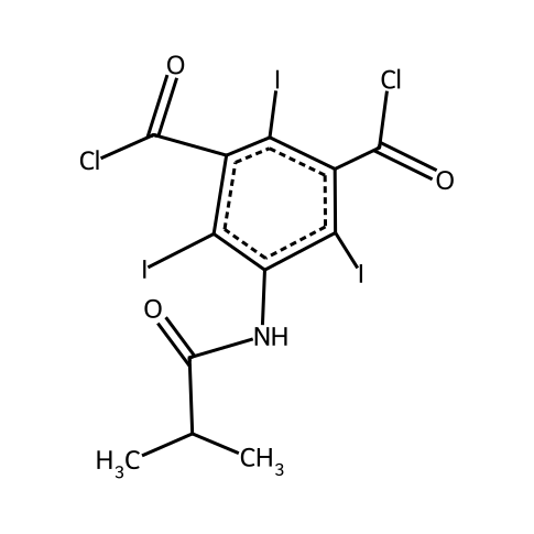 CC(C)C(=O)Nc1c(I)c(C(=O)Cl)c(I)c(C(=O)Cl)c1I